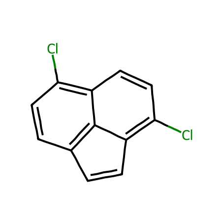 Clc1ccc2c(Cl)ccc3c2c1C=C3